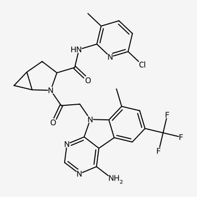 Cc1ccc(Cl)nc1NC(=O)C1CC2CC2N1C(=O)Cn1c2ncnc(N)c2c2cc(C(F)(F)F)cc(C)c21